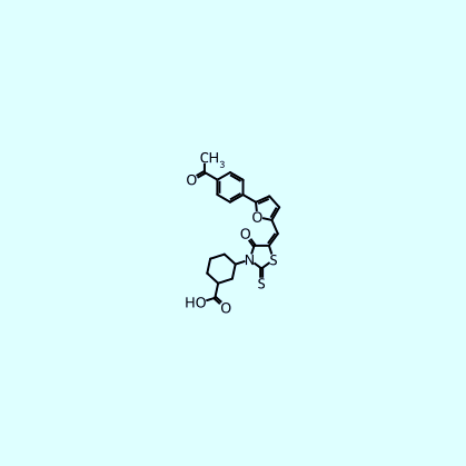 CC(=O)c1ccc(-c2ccc(C=C3SC(=S)N(C4CCCC(C(=O)O)C4)C3=O)o2)cc1